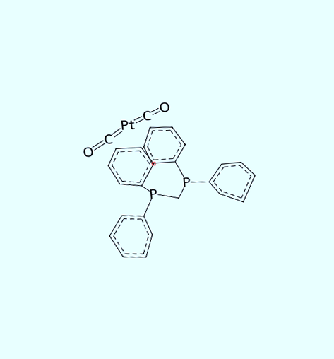 O=[C]=[Pt]=[C]=O.c1ccc(P(CP(c2ccccc2)c2ccccc2)c2ccccc2)cc1